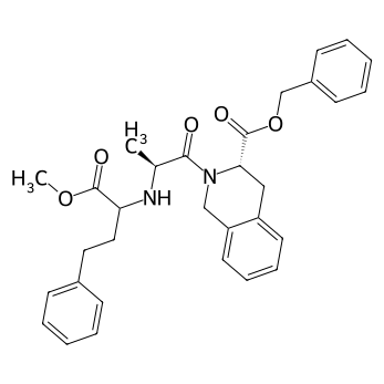 COC(=O)C(CCc1ccccc1)N[C@@H](C)C(=O)N1Cc2ccccc2C[C@H]1C(=O)OCc1ccccc1